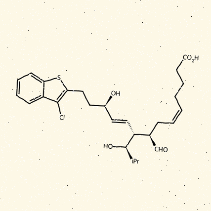 CC(C)[C@@H](O)[C@H](/C=C/[C@H](O)CCc1sc2ccccc2c1Cl)[C@H](C=O)C/C=C\CCCC(=O)O